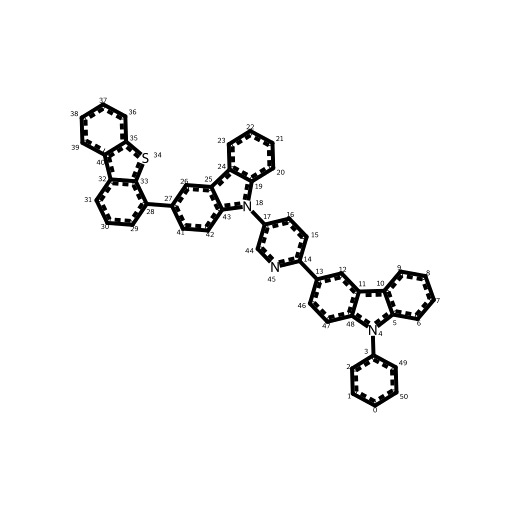 c1ccc(-n2c3ccccc3c3cc(-c4ccc(-n5c6ccccc6c6cc(-c7cccc8c7sc7ccccc78)ccc65)cn4)ccc32)cc1